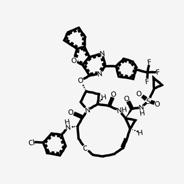 O=C1N[C@]2(C(=O)NS(=O)(=O)C3CC3)C[C@H]2/C=C\CCCCC[C@H](Nc2cccc(Cl)c2)C(=O)N2C[C@H](Oc3nc(-c4ccc(C(F)(F)F)cc4)nc4c3oc3ccccc34)C[C@@H]12